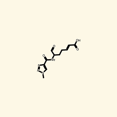 Cn1cc(C(=O)NC(C=O)CCC=CC(=O)O)nn1